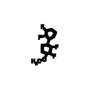 COc1ccc(-c2cccc(F)c2F)c(F)c1F